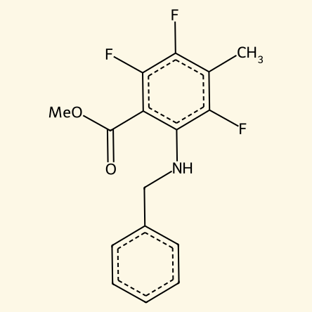 COC(=O)c1c(F)c(F)c(C)c(F)c1NCc1ccccc1